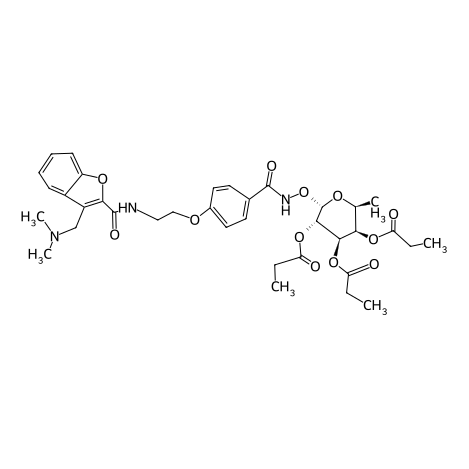 CCC(=O)O[C@H]1[C@H](OC(=O)CC)[C@H](ONC(=O)c2ccc(OCCNC(=O)c3oc4ccccc4c3CN(C)C)cc2)O[C@@H](C)[C@H]1OC(=O)CC